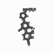 O=C(O)NC1CCN(c2cc(F)c(C3CCC(=O)NC3=O)c(F)c2)C1